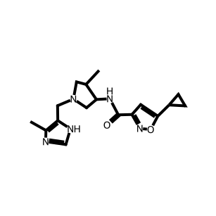 Cc1nc[nH]c1CN1CC(C)C(NC(=O)c2cc(C3CC3)on2)C1